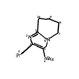 CC(C)c1nc2n(c1C(C)(C)C)CCCC2